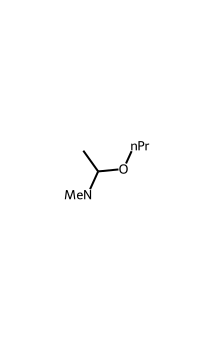 CCCOC(C)NC